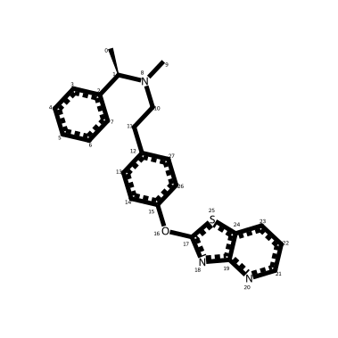 C[C@H](c1ccccc1)N(C)CCc1ccc(Oc2nc3ncccc3s2)cc1